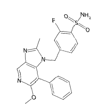 COc1ncc2nc(C)n(Cc3ccc(S(N)(=O)=O)c(F)c3)c2c1-c1ccccc1